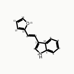 C(=C\c1c[nH]c2ccccc12)/c1ccco1